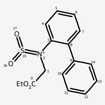 CCOC(=O)C[N+](c1ccccc1-c1ccccc1)=S(=O)=O